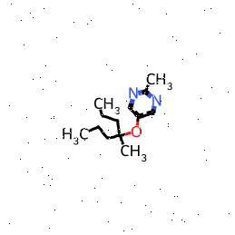 CCCC(C)(CCC)Oc1cnc(C)nc1